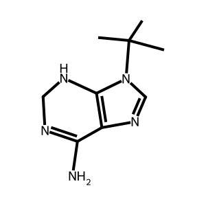 CC(C)(C)n1cnc2c1NCN=C2N